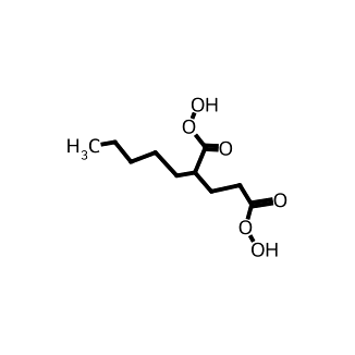 CCCCCC(CCC(=O)OO)C(=O)OO